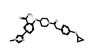 Cn1cnc(-c2ccc(OC3CCN(C(=O)Cc4ccc(OC5CC5)cc4)CC3)c(C(N)=O)c2)c1